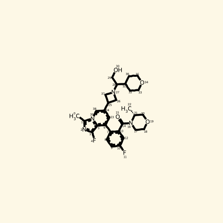 Cc1nc(F)c2c(-c3ccc(F)cc3C(=O)N3CCOC[C@H]3C)cc(C3CN(C(CO)C4CCOCC4)C3)cn12